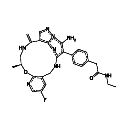 C=C1NC[C@H](C)Oc2ncc(F)cc2CNc2nc3c1cnn3c(N)c2-c1ccc(CC(=O)NCC)cc1